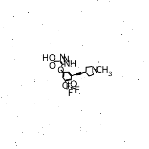 CN1CCC(C#Cc2cc(Oc3[nH]nnc3C(=O)O)cc(Cl)c2OC(F)(F)F)CC1